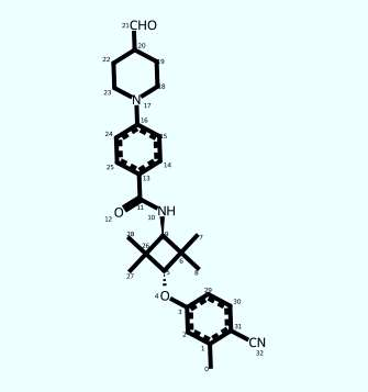 Cc1cc(O[C@H]2C(C)(C)[C@H](NC(=O)c3ccc(N4CCC(C=O)CC4)cc3)C2(C)C)ccc1C#N